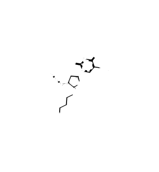 [CH2]CCCC[C@H]1O[C@@H](n2cc(C)c(=O)[nH]c2=O)C[C@@H]1N=[N+]=[N-]